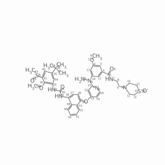 COc1cc(C(=O)NCCN2CC[S+]([O-])CC2)cc(N(N)c2cc(Oc3ccc(NC(=O)Nc4cc(C(C)(C)C)cc([S+](C)[O-])c4OC)c4ccccc34)ccn2)c1